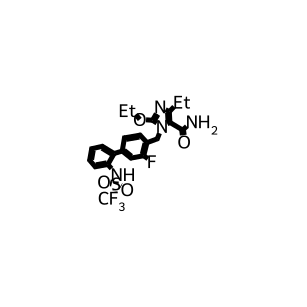 CCOc1nc(CC)c(C(N)=O)n1Cc1ccc(-c2ccccc2NS(=O)(=O)C(F)(F)F)cc1F